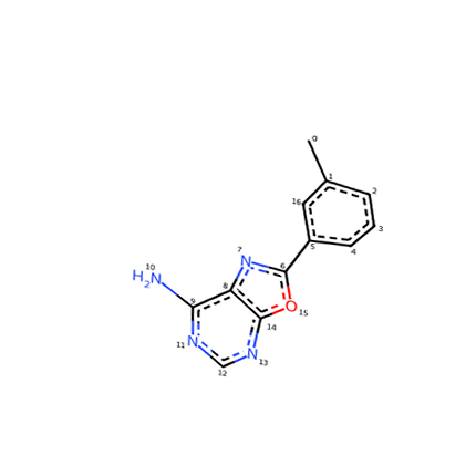 Cc1cccc(-c2nc3c(N)ncnc3o2)c1